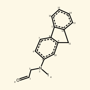 O=CCN(I)c1ccc2c(c1)Cc1ccccc1-2